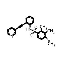 COc1ccc(S(=O)(=O)Nc2ccccc2C#Cc2cccnc2)c(C)c1C